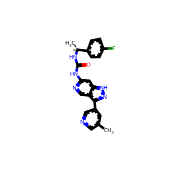 Cc1cncc(-c2n[nH]c3cc(NC(=O)N[C@H](C)c4ccc(F)cc4)ncc23)c1